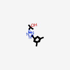 Cc1cc(C)cc(-c2nnn(CC(C)(C)O)n2)c1